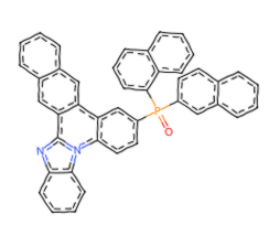 O=P(c1ccc2ccccc2c1)(c1ccc2c(c1)c1cc3ccccc3cc1c1nc3ccccc3n21)c1cccc2ccccc12